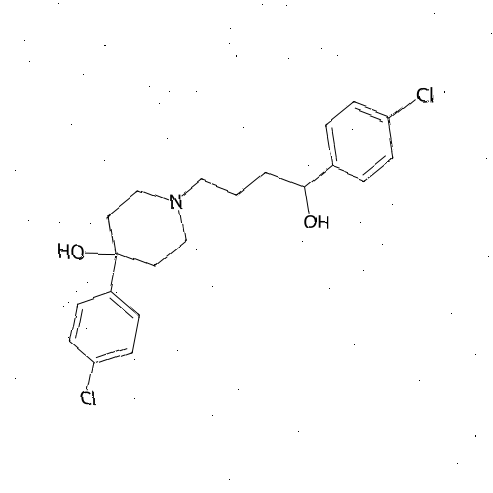 OC(CCCN1CCC(O)(c2ccc(Cl)cc2)CC1)c1ccc(Cl)cc1